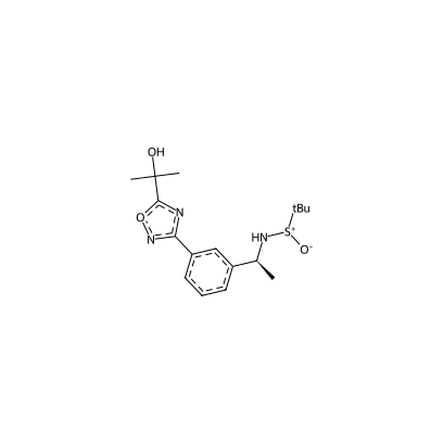 C[C@H](N[S+]([O-])C(C)(C)C)c1cccc(-c2noc(C(C)(C)O)n2)c1